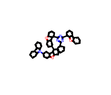 c1ccc(-c2nc(-c3cccc4c3oc3ccccc34)nc(-c3cccc4oc5ccc(-c6cccc7oc8ccc(-n9c%10ccccc%10c%10ccccc%109)cc8c67)cc5c34)n2)cc1